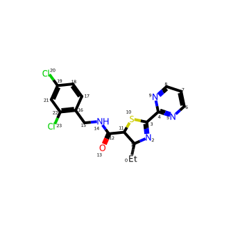 CCC1N=C(c2ncccn2)SC1C(=O)NCc1ccc(Cl)cc1Cl